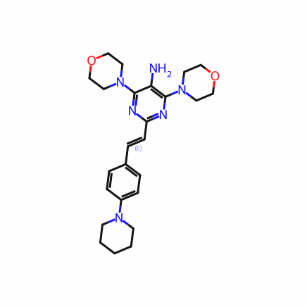 Nc1c(N2CCOCC2)nc(/C=C/c2ccc(N3CCCCC3)cc2)nc1N1CCOCC1